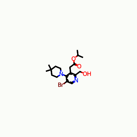 CC(C)OC(=O)Cc1c(CO)ncc(Br)c1N1CCC(C)(C)CC1